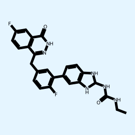 CCNC(=O)NC1Nc2ccc(-c3cc(Cc4n[nH]c(=O)c5cc(F)ccc45)ccc3F)cc2N1